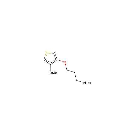 CCCCCCCCCOc1cscc1OC